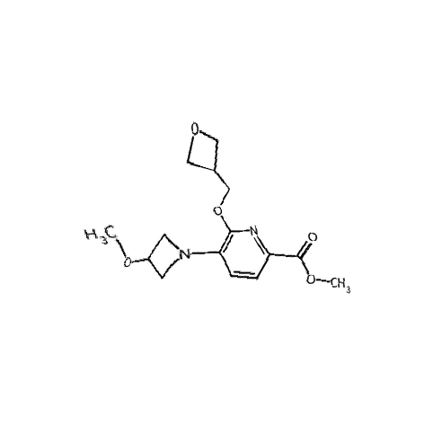 COC(=O)c1ccc(N2CC(OC)C2)c(OCC2COC2)n1